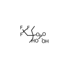 CCC(CC)(CC(F)(F)F)OP(=O)(O)O